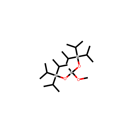 CO[Si](C)(O[Si](C(C)C)(C(C)C)C(C)C)O[Si](C(C)C)(C(C)C)C(C)C